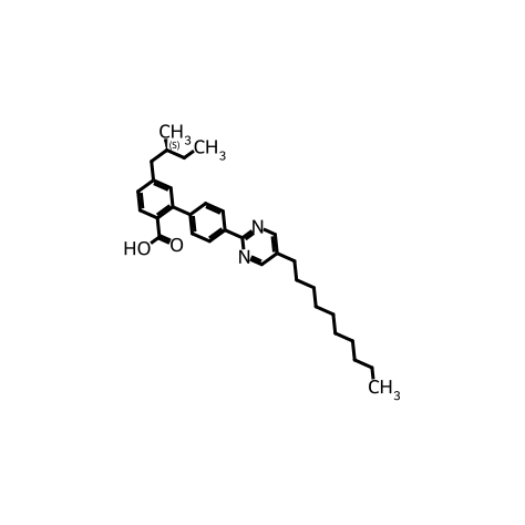 CCCCCCCCCCc1cnc(-c2ccc(-c3cc(C[C@@H](C)CC)ccc3C(=O)O)cc2)nc1